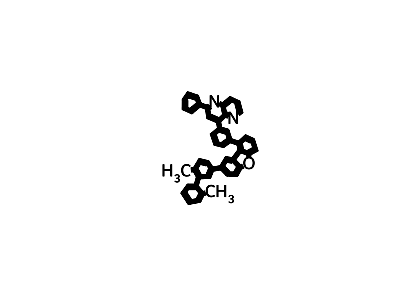 Cc1ccccc1-c1cc(-c2ccc3oc4cccc(-c5cccc(-c6cc(-c7ccccc7)nc7cccnc67)c5)c4c3c2)ccc1C